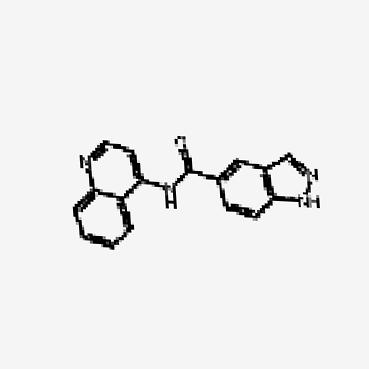 O=C(Nc1ccnc2ccccc12)c1ccc2[nH]ncc2c1